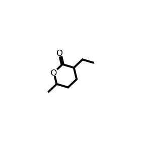 CCC1CCC(C)OC1=O